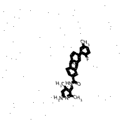 Cc1ccc(F)c(-c2ccc3c(c2)c2oc3c3ccc(C(=O)NCc4c(C)cc(N)nc4C)cc32)c1